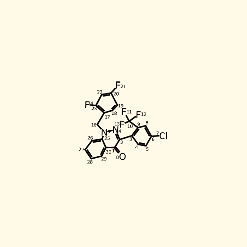 O=c1c(-c2ccc(Cl)cc2C(F)(F)F)nn(Cc2ccc(F)cc2F)c2ccccc12